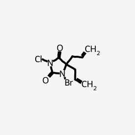 C=CCC1(CC=C)C(=O)N(Cl)C(=O)N1Br